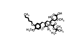 CCCCCOc1cc(C[C@@H](C[C@H](NC(=O)OC(C)(C)C)[C@@H](O)C[C@@H](C)C(=O)O)C(C)C)ccc1OC